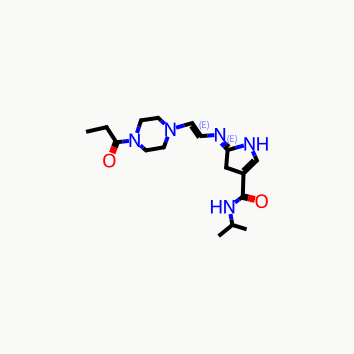 CCC(=O)N1CCN(/C=C/N=C2\CC(C(=O)NC(C)C)=CN2)CC1